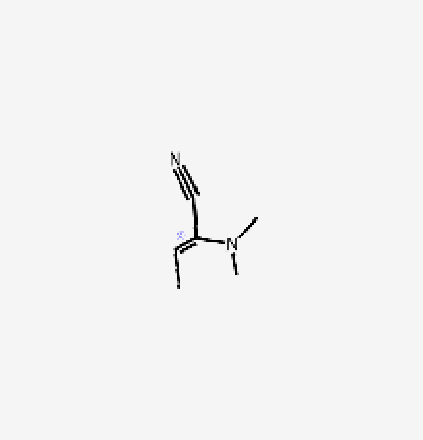 C/C=C(/C#N)N(C)C